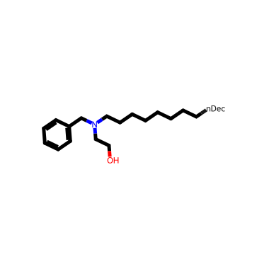 CCCCCCCCCCCCCCCCCCN(CCO)Cc1ccccc1